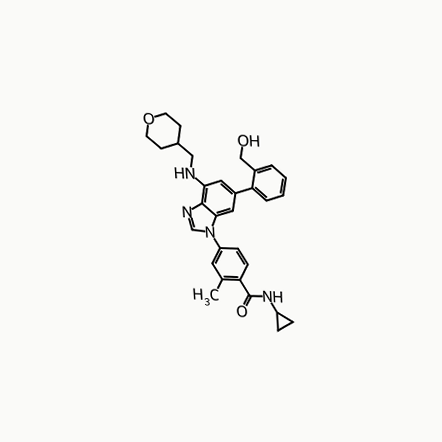 Cc1cc(-n2cnc3c(NCC4CCOCC4)cc(-c4ccccc4CO)cc32)ccc1C(=O)NC1CC1